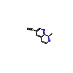 Cc1nccc2cc(C=O)cnc12